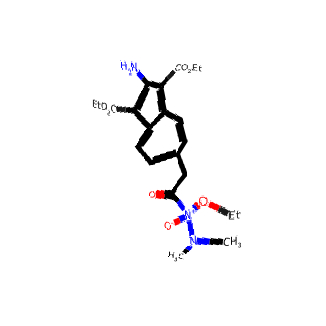 CCOC(=O)c1c2ccc(CC(=O)[N+]([O-])(OCC)N(C)C)ccc-2c(C(=O)OCC)c1N